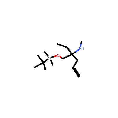 C=CCC(CC)(CO[Si](C)(C)C(C)(C)C)NC